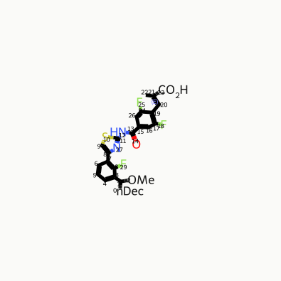 CCCCCCCCCCC(OC)c1cccc(-c2csc(NC(=O)c3cc(F)c(/C=C(\C)C(=O)O)c(F)c3)n2)c1F